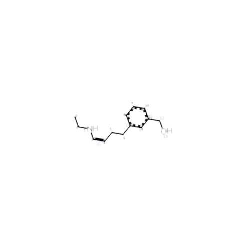 CCN/C=C\CCc1cccc(CO)c1